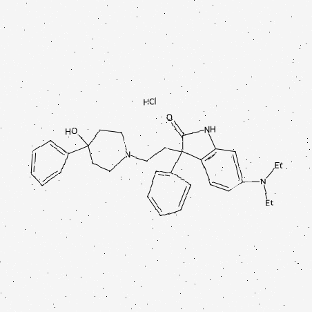 CCN(CC)c1ccc2c(c1)NC(=O)C2(CCN1CCC(O)(c2ccccc2)CC1)c1ccccc1.Cl